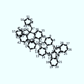 c1ccc([Si](c2ccccc2)(c2cccc(-n3c4ccccc4n4c5ccccc5nc34)c2)c2cccc3c2Oc2ccccc2C3(Cc2cccs2)Cc2cccs2)cc1